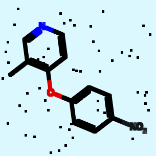 Cc1cnccc1Oc1ccc([N+](=O)[O-])cc1